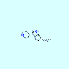 CCOC(=O)c1ccc2c(C3CCNCC3)c[nH]c2c1